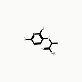 CC(Oc1ccc(Cl)nc1Cl)C(N)=O